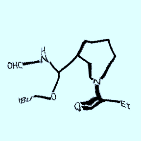 [CH2]CC(=O)N1CCCC1C(NC=O)OC(C)(C)C